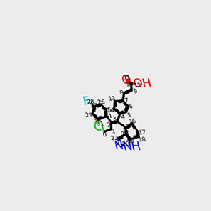 CCC(=C(c1ccc(C=CC(=O)O)cc1)c1cccc2[nH]ncc12)c1ccc(F)cc1Cl